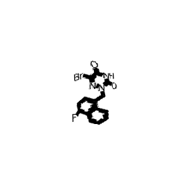 O=c1[nH]c(=O)n(Cc2ccc(F)c3ccccc23)nc1Br